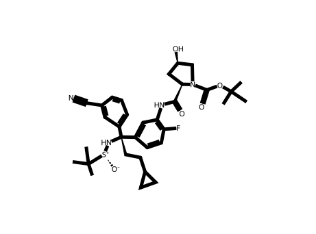 CC(C)(C)OC(=O)N1C[C@H](O)C[C@@H]1C(=O)Nc1cc([C@](CCC2CC2)(N[S@+]([O-])C(C)(C)C)c2cccc(C#N)c2)ccc1F